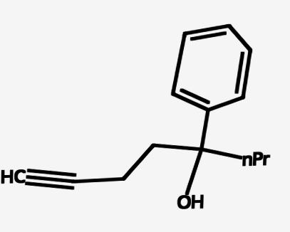 C#CCCC(O)(CCC)c1ccccc1